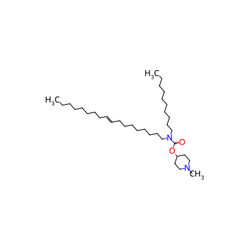 CCCCCCCCC=CCCCCCCCCN(CCCCCCCCCC)C(=O)OC1CCN(C)CC1